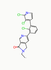 [CH2]CN1Cc2cc(-c3cccc(-c4ccnc(Cl)c4Cl)c3Cl)ncc2C1=O